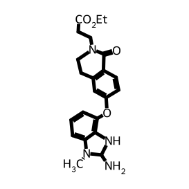 CCOC(=O)CCN1CCc2cc(Oc3cccc4c3NC(N)N4C)ccc2C1=O